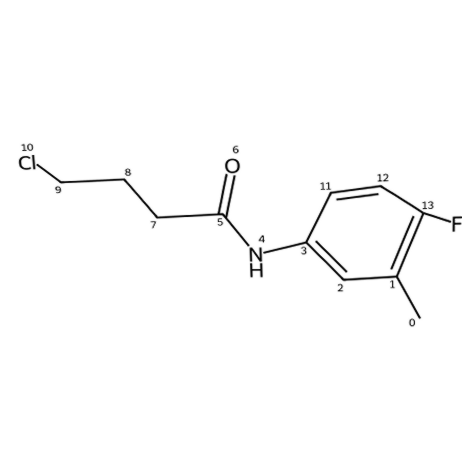 Cc1cc(NC(=O)CCCCl)ccc1F